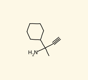 C#CC(C)(N)C1CCCCC1